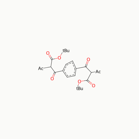 CC(=O)C(C(=O)OC(C)(C)C)C(=O)c1ccc(C(=O)C(C(C)=O)C(=O)OC(C)(C)C)cc1